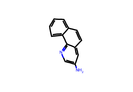 Nc1cnc2c(ccc3ccccc32)c1